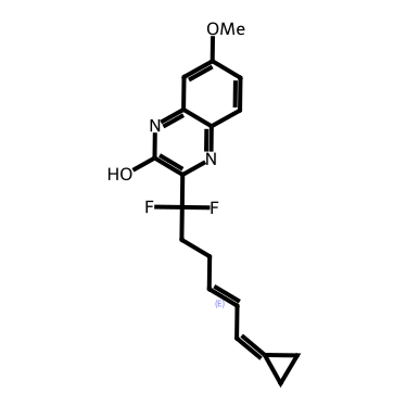 COc1ccc2nc(C(F)(F)CC/C=C/C=C3CC3)c(O)nc2c1